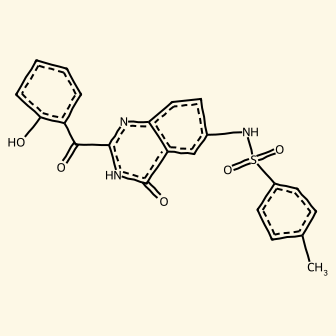 Cc1ccc(S(=O)(=O)Nc2ccc3nc(C(=O)c4ccccc4O)[nH]c(=O)c3c2)cc1